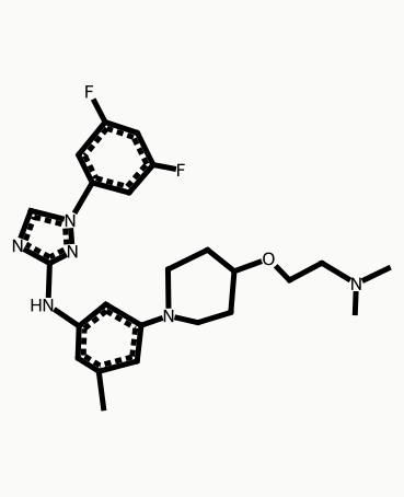 Cc1cc(Nc2ncn(-c3cc(F)cc(F)c3)n2)cc(N2CCC(OCCN(C)C)CC2)c1